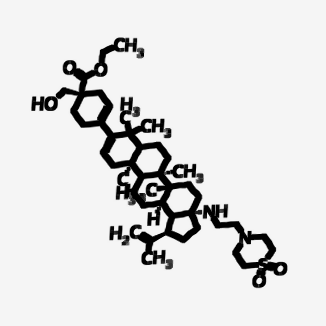 C=C(C)[C@@H]1CC[C@]2(NCCN3CCS(=O)(=O)CC3)CC[C@]3(C)[C@H](CCC4[C@@]5(C)CC=C(C6=CC[C@@](CO)(C(=O)OCC)CC6)C(C)(C)C5CC[C@]43C)C12